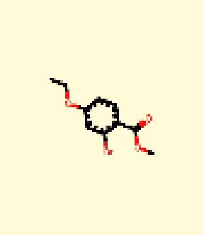 CCOc1ccc(C(=O)OC)c(Br)c1